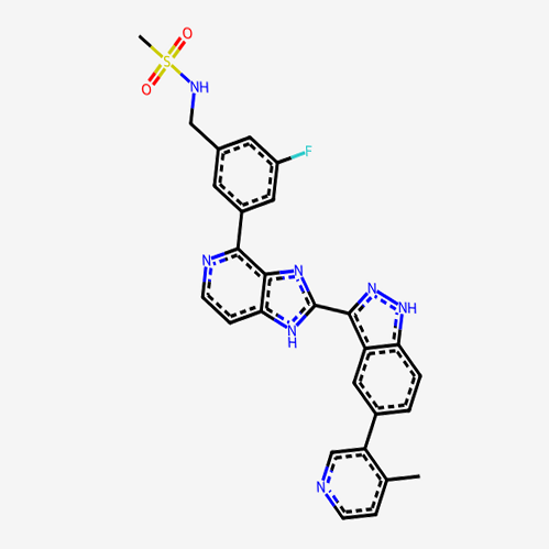 Cc1ccncc1-c1ccc2[nH]nc(-c3nc4c(-c5cc(F)cc(CNS(C)(=O)=O)c5)nccc4[nH]3)c2c1